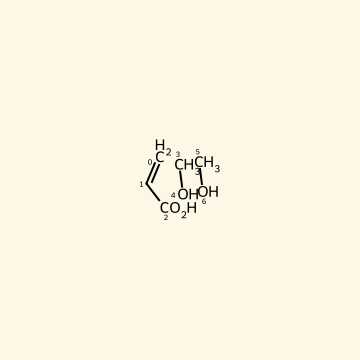 C=CC(=O)O.CO.CO